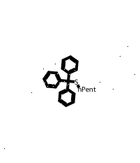 CCCCCSC(c1ccccc1)(c1ccccc1)c1ccccc1